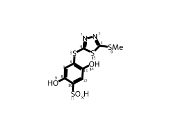 CSc1nnc(Sc2cc(O)c(S(=O)(=O)O)cc2O)s1